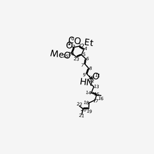 CCOC(=O)Oc1ccc(C=CC=CC(=O)NC/C=C(\C)CCC=C(C)C)cc1OC